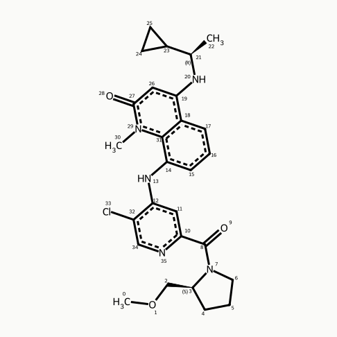 COC[C@@H]1CCCN1C(=O)c1cc(Nc2cccc3c(N[C@H](C)C4CC4)cc(=O)n(C)c23)c(Cl)cn1